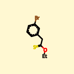 CCOC(=S)Cc1cccc(Br)c1